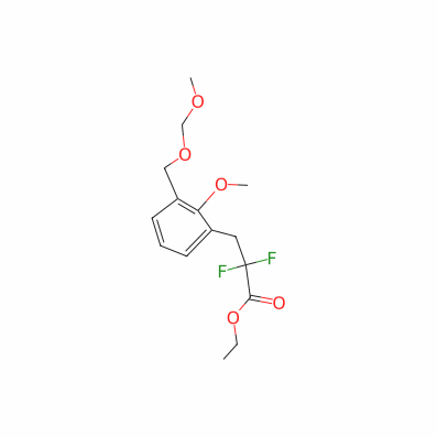 CCOC(=O)C(F)(F)Cc1cccc(COCOC)c1OC